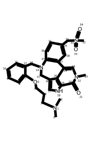 CN(C)CCCOc1ccccc1CN1Cc2c[nH]c3c(=O)n(C)cc(c23)-c2cc(CS(C)(=O)=O)ccc21